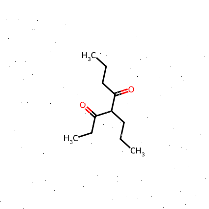 CCCC(=O)C(CCC)C(=O)CC